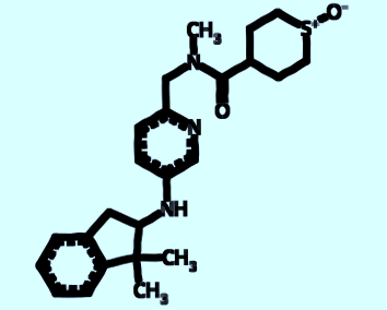 CN(Cc1ccc(NC2Cc3ccccc3C2(C)C)cn1)C(=O)C1CC[S+]([O-])CC1